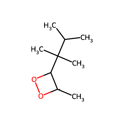 C[C]1OOC1C(C)(C)C(C)C